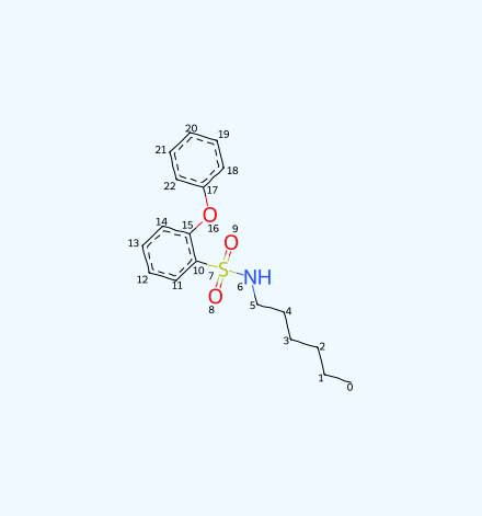 CCCCCCNS(=O)(=O)c1ccccc1Oc1ccccc1